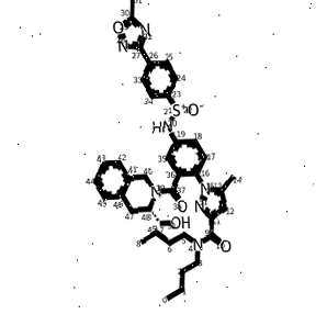 CCCCN(CCCC)C(=O)c1cc(C)n(-c2ccc(N[S+]([O-])c3ccc(-c4noc(C)n4)cc3)cc2C(=O)N2Cc3ccccc3C[C@H]2CO)n1